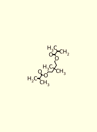 C=C(C)C(=O)OCCC(C)(C)CCOC(=O)C(=C)C